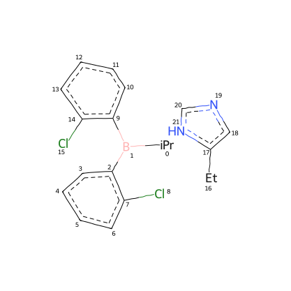 CC(C)B(c1ccccc1Cl)c1ccccc1Cl.CCc1cnc[nH]1